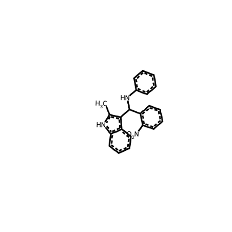 Cc1[nH]c2ccccc2c1C(Nc1ccccc1)c1ccccc1[N+](=O)[O-]